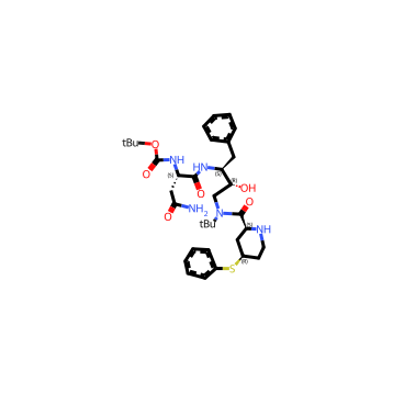 CC(C)(C)OC(=O)N[C@@H](CC(N)=O)C(=O)N[C@@H](Cc1ccccc1)[C@H](O)CN(C(=O)[C@@H]1C[C@H](Sc2ccccc2)CCN1)C(C)(C)C